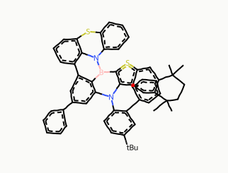 CC(C)(C)c1ccc(N2c3cc(-c4ccccc4)cc4c3B(c3sc5cc6c(cc5c32)C(C)(C)CCC6(C)C)N2c3ccccc3Sc3cccc-4c32)c(-c2ccccc2)c1